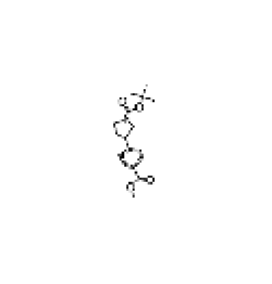 COC(=O)c1ccc(C2CCN(C(=O)OC(C)(C)C)C2)cc1